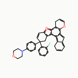 Fc1ccccc1C1(c2ccc(N3CCOCC3)cc2)C=Cc2oc3c4c(c5c(c3c2C1)=C1CC=CC=C1C=5)OC=CC4